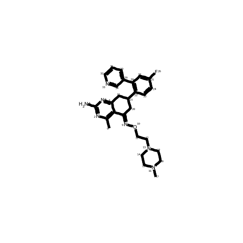 Cc1nc(N)nc2c1/C(=N/OCCN1CCN(C)CC1)CC(c1ccc(F)cc1-c1cccnc1)C2